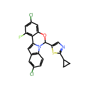 Fc1cc(Cl)cc2c1-c1cc3cc(Cl)ccc3n1C(c1cnc(C3CC3)s1)O2